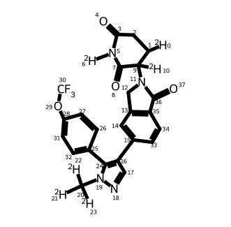 [2H]C1CC(=O)N([2H])C(=O)C1([2H])N1Cc2cc(-c3cnn(C([2H])([2H])[2H])c3-c3ccc(OC(F)(F)F)cc3)ccc2C1=O